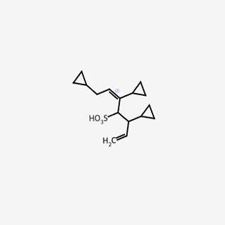 C=CC(C1CC1)C(/C(=C\CC1CC1)C1CC1)S(=O)(=O)O